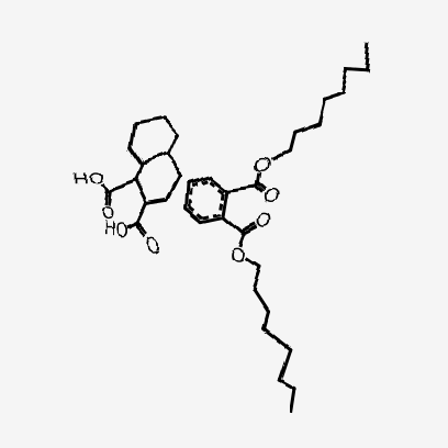 CCCCCCCCOC(=O)c1ccccc1C(=O)OCCCCCCCC.O=C(O)C1CCC2CCCCC2C1C(=O)O